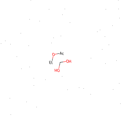 CCOC(C)=O.OCO